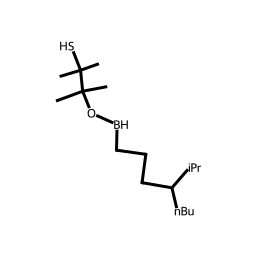 CCCCC(CCCBOC(C)(C)C(C)(C)S)C(C)C